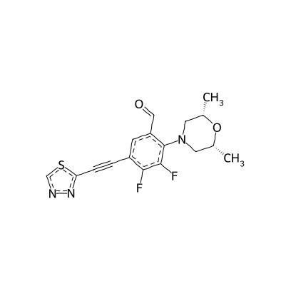 C[C@@H]1CN(c2c(C=O)cc(C#Cc3nncs3)c(F)c2F)C[C@H](C)O1